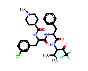 CC(C)C(NC(=O)C(Cc1ccccc1)NC(=O)C(Cc1cccc(Cl)c1)NC(=O)C1CCN(C)CC1)C(=O)C(F)(F)F